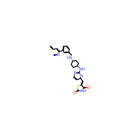 C=C/C=C(\N=C)c1cccc(CN[C@H]2CC[C@H](Nc3nccc(/C=C4\SC(=O)NC4=O)n3)CC2)c1